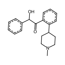 CN1CCC(c2ccccc2C(=O)C(O)c2ccccc2)CC1